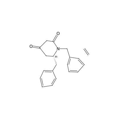 C=C.O=C1CC(=O)N(Cc2ccccc2)[C@H](Cc2ccccc2)C1